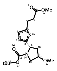 COC(=O)CCc1cnc([C@@H]2C[C@@H](OC)CN2C(=O)OC(C)(C)C)s1